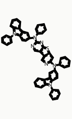 c1ccc(N(c2ccc3c(c2)c2ccccc2n3-c2ccccc2)c2cc3sc4nc(N(c5ccccc5)c5ccc6c(c5)c5ccccc5n6-c5ccccc5)ncc4c3cn2)cc1